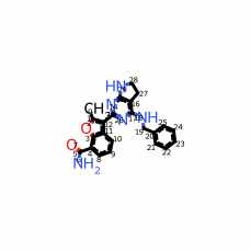 Cc1oc2c(C(N)=O)cccc2c1-c1nc2c(c(NCc3ccccc3)n1)CCN2